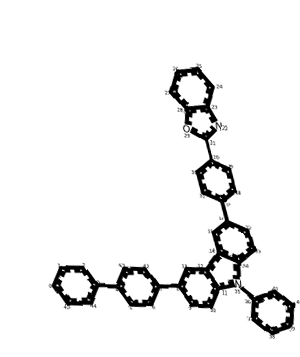 c1ccc(-c2ccc(-c3ccc4c(c3)c3cc(-c5ccc(-c6nc7ccccc7o6)cc5)ccc3n4-c3ccccc3)cc2)cc1